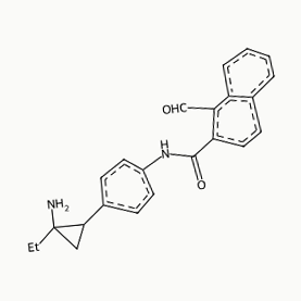 CCC1(N)CC1c1ccc(NC(=O)c2ccc3ccccc3c2C=O)cc1